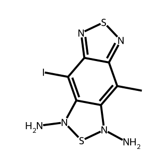 Cc1c2c(c(I)c3nsnc13)N(N)SN2N